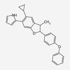 CC1c2cc(C3CC3)c(-c3ccc[nH]3)cc2OC1c1ccc(Oc2ccccc2)cc1